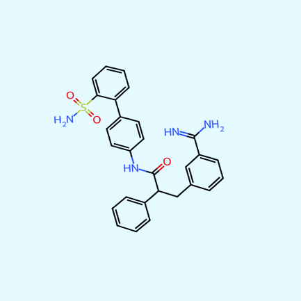 N=C(N)c1cccc(CC(C(=O)Nc2ccc(-c3ccccc3S(N)(=O)=O)cc2)c2ccccc2)c1